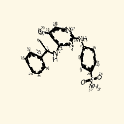 CC(Nc1nc(Nc2ccc(S(N)(=O)=O)cc2)ncc1Br)c1ccccc1